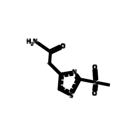 CS(=O)(=O)c1nc([CH]C(N)=O)cs1